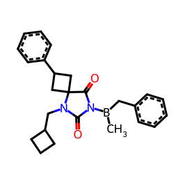 CB(Cc1ccccc1)N1C(=O)N(CC2CCC2)C2(CC(c3ccccc3)C2)C1=O